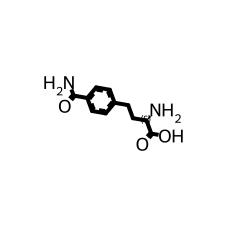 NC(=O)c1ccc(CC[C@H](N)C(=O)O)cc1